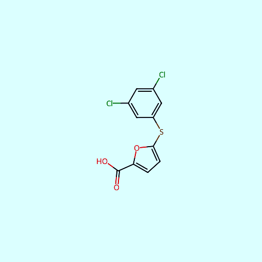 O=C(O)c1ccc(Sc2cc(Cl)cc(Cl)c2)o1